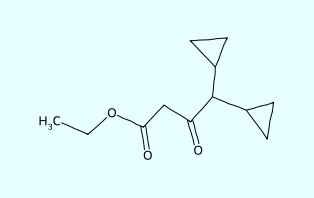 CCOC(=O)CC(=O)C(C1CC1)C1CC1